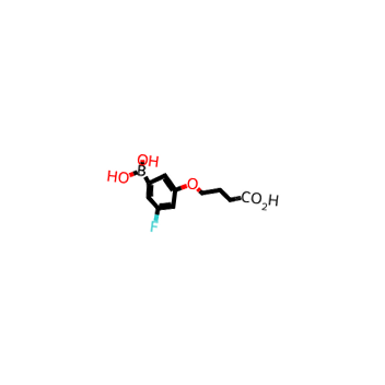 O=C(O)CCCOc1cc(F)cc(B(O)O)c1